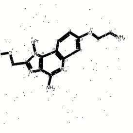 CCCn1c(COCC)nc2c(N)nc3cc(OCCN)ccc3c21